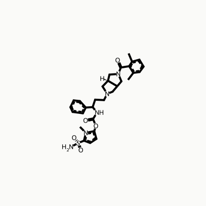 Cc1cccc(C)c1C(=O)N1CC2CN(CCC(NC(=O)Oc3ccc(S(N)(=O)=O)n3C)c3ccccc3)C[C@H]2C1